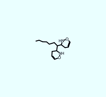 CCCCCCC(C1CC=CON1)C1CC=CON1